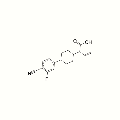 C=CC(C(=O)O)C1CCC(c2ccc(C#N)c(F)c2)CC1